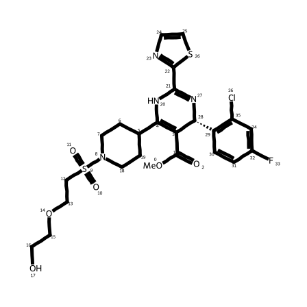 COC(=O)C1=C(C2CCN(S(=O)(=O)CCOCCO)CC2)NC(c2nccs2)=N[C@@H]1c1ccc(F)cc1Cl